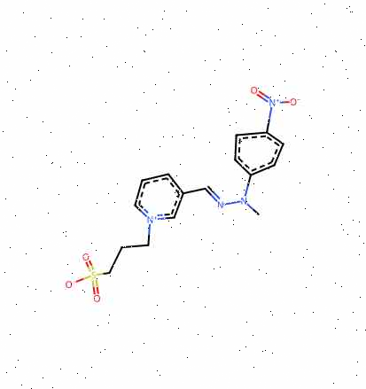 CN(N=Cc1ccc[n+](CCCS(=O)(=O)[O-])c1)c1ccc([N+](=O)[O-])cc1